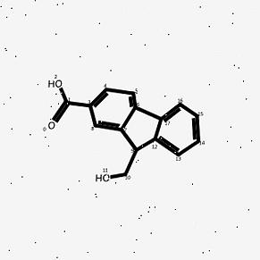 O=C(O)c1ccc2c(c1)C(CO)c1ccccc1-2